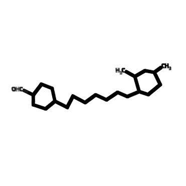 CC1CCC(CCCCCCCC2CCC(C=O)CC2)C(C)C1